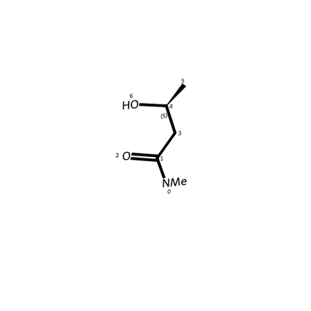 CNC(=O)C[C@H](C)O